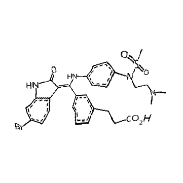 CN(C)CCN(c1ccc(N/C(=C2\C(=O)Nc3cc(Br)ccc32)c2cccc(CCC(=O)O)c2)cc1)S(C)(=O)=O